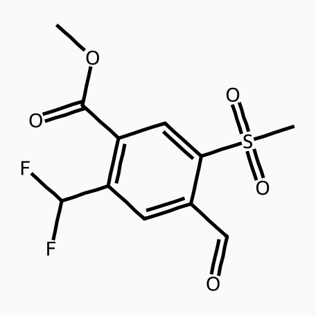 COC(=O)c1cc(S(C)(=O)=O)c(C=O)cc1C(F)F